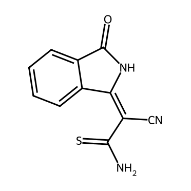 N#C/C(C(N)=S)=C1\NC(=O)c2ccccc21